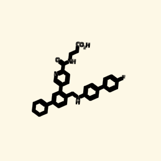 O=C(O)CCNC(=O)c1ccc(-c2cc(C3=CCCCC3)ccc2CNc2ccc(-c3ccc(F)cc3)cc2)cn1